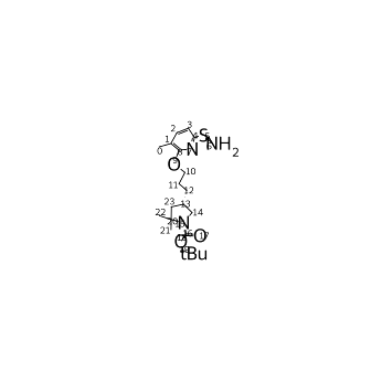 Cc1ccc(SN)nc1OCCC[C@@H]1CN(C(=O)OC(C)(C)C)C(C)(C)C1